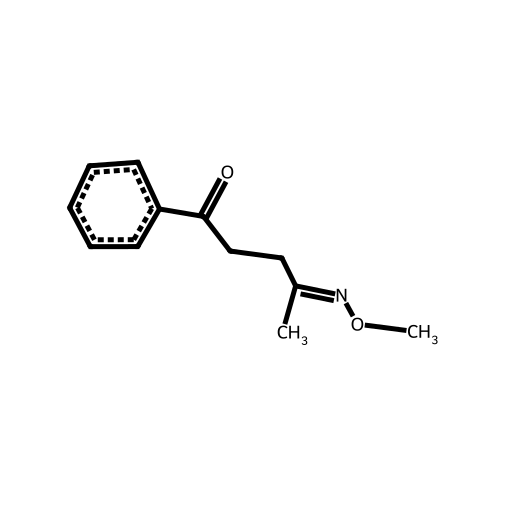 CO/N=C(\C)CCC(=O)c1ccccc1